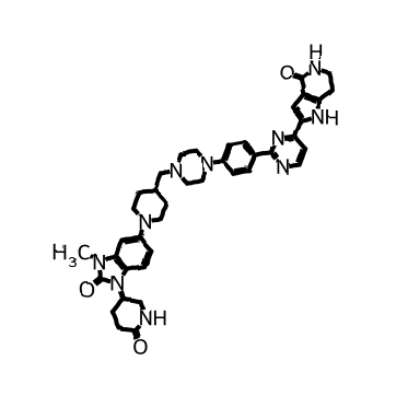 Cn1c(=O)n(C2CCC(=O)NC2)c2ccc(N3CCC(CN4CCN(c5ccc(-c6nccc(-c7cc8c([nH]7)CCNC8=O)n6)cc5)CC4)CC3)cc21